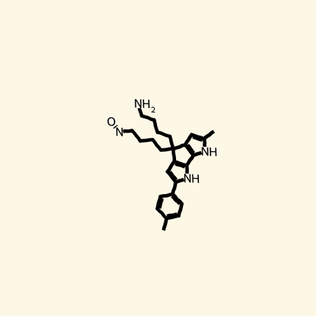 Cc1ccc(-c2cc3c([nH]2)-c2[nH]c(C)cc2C3(CCCCN)CCCCN=O)cc1